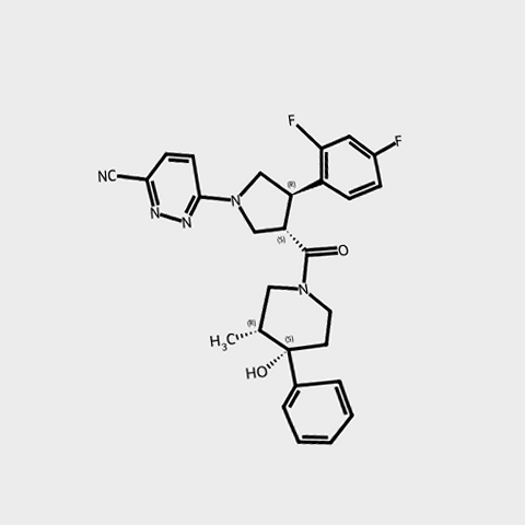 C[C@@H]1CN(C(=O)[C@@H]2CN(c3ccc(C#N)nn3)C[C@H]2c2ccc(F)cc2F)CC[C@@]1(O)c1ccccc1